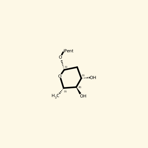 CCCC(C)O[C@@H]1C[C@H](O)[C@@H](O)[C@H](C)O1